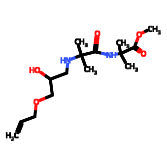 C=CCOCC(O)CNC(C)(C)C(=O)NC(C)(C)C(=O)OC